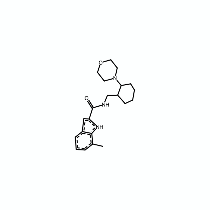 Cc1cccc2cc(C(=O)NCC3CCCCC3N3CCOCC3)[nH]c12